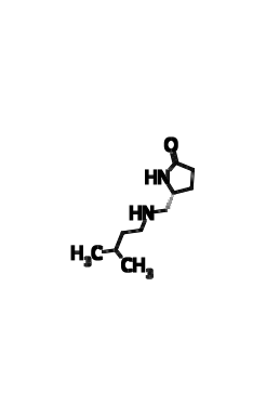 CC(C)CCNC[C@H]1CCC(=O)N1